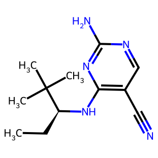 CC[C@H](Nc1nc(N)ncc1C#N)C(C)(C)C